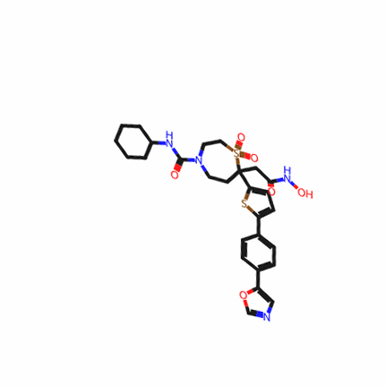 O=C(CC1(c2ccc(-c3ccc(-c4cnco4)cc3)s2)CCN(C(=O)NC2CCCCC2)CCS1(=O)=O)NO